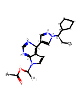 CC(C)C(=O)OC(C)n1ccc2c(-c3cnn([C@H](CC#N)C4CCCC4)c3)ncnc21